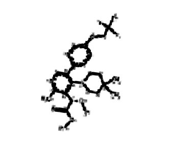 CCC(F)(F)COc1ccc(-c2cnc(C)c([C@H](OC(C)C)C(=O)OC(C)C)c2N2CCC(C)(C)CC2)nc1